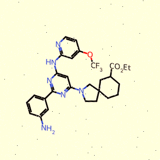 CCOC(=O)C1CCCC2(CCN(c3cc(Nc4cc(OC(F)(F)F)ccn4)nc(-c4cccc(N)c4)n3)C2)C1